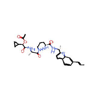 C/C=C/c1ccc2ccc([C@@H](C)NC(=O)[C@@H]3CCCN(C(=O)[C@H](C)NC(=O)[C@H](OC(C)=O)C4CC4)N3)nc2c1